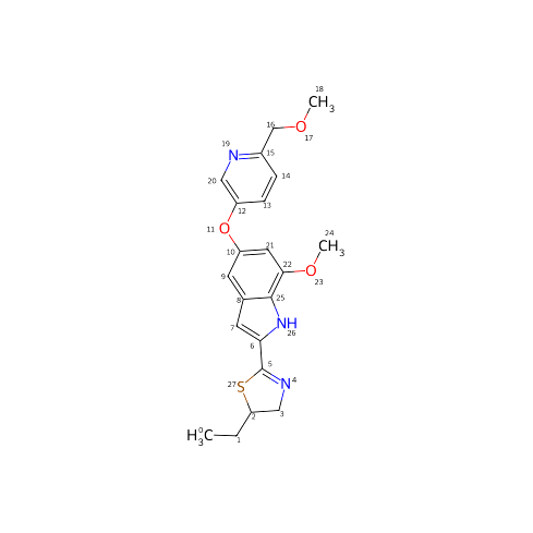 CCC1CN=C(c2cc3cc(Oc4ccc(COC)nc4)cc(OC)c3[nH]2)S1